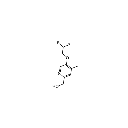 Cc1cc(CO)ncc1OCC(F)F